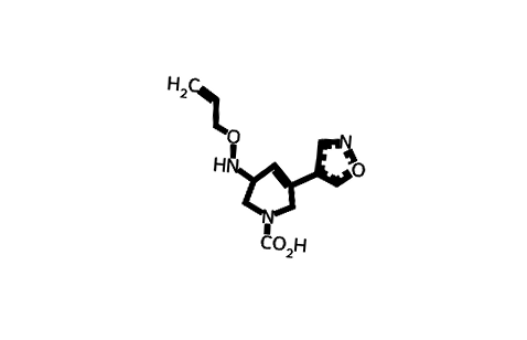 C=CCONC1C=C(c2cnoc2)CN(C(=O)O)C1